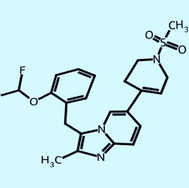 Cc1nc2ccc(C3=CCN(S(C)(=O)=O)CC3)cn2c1Cc1ccccc1OC(F)F